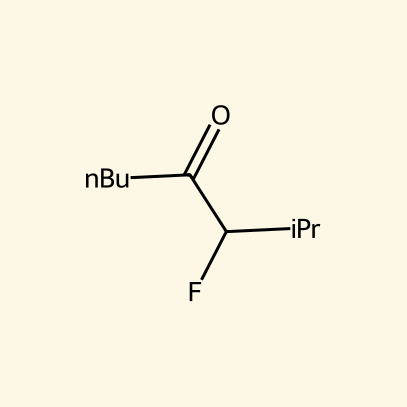 CCCCC(=O)C(F)C(C)C